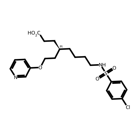 O=C(O)CC[C@@H](CCCCNS(=O)(=O)c1ccc(Cl)cc1)CCOc1cccnc1